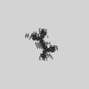 CCC1(CC)CC(C)(C)c2c(-c3ccc(N(c4ccc(-c5cccc6c5C(C)(C)CC6(CC)CC)cc4)c4ccc(C5C(O)C(c6ccc(N(c7ccc(-c8cccc9c8C(C)(C)CC9(CC)CC)cc7)c7ccc(-c8cccc9c8C(CC)(CC)CC9(C)C)cc7)cc6O)C5O)c(O)c4)cc3)cccc21